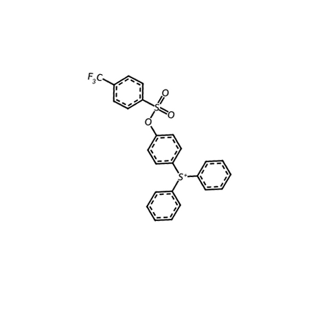 O=S(=O)(Oc1ccc([S+](c2ccccc2)c2ccccc2)cc1)c1ccc(C(F)(F)F)cc1